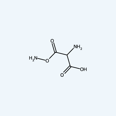 NOC(=O)C(N)C(=O)O